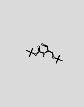 CC(C)(C)OCC(C=O)NC(=O)OC(C)(C)C